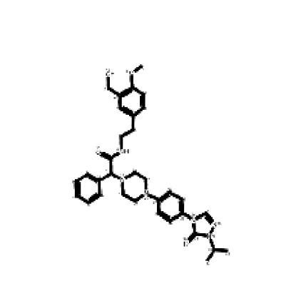 COc1ccc(CCNC(=O)C(c2ccccc2)N2CCN(c3ccc(-n4cnn(C(C)C)c4=O)cc3)CC2)cc1CO